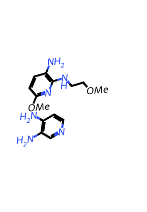 COCCNc1nc(OC)ccc1N.Nc1ccncc1N